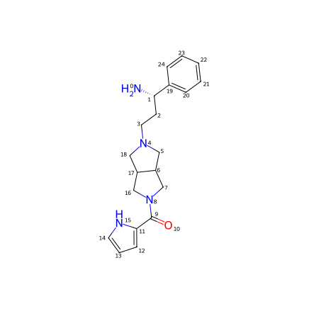 N[C@@H](CCN1CC2CN(C(=O)c3ccc[nH]3)CC2C1)c1ccccc1